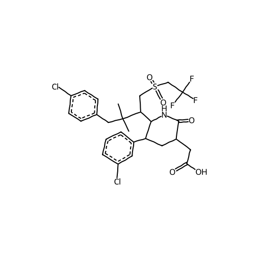 CC(C)(Cc1ccc(Cl)cc1)C(CS(=O)(=O)CC(F)(F)F)C1NC(=O)C(CC(=O)O)CC1c1cccc(Cl)c1